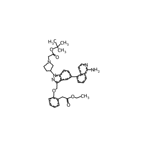 CCOC(=O)Cc1ccccc1OCc1nn(C2CCN(CC(=O)OC(C)(C)C)C2)c2ccc(-c3cccc4c(N)nccc34)cc12